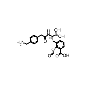 NCc1ccc(CC(=O)N[C@@H](Cc2cccc(C(=O)O)c2OC=O)B(O)O)cc1